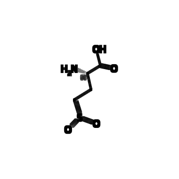 N[C@@H](CC=S(=O)=O)C(=O)O